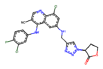 N#Cc1cnc2c(Cl)cc(NCc3cn(C4CCOC4=O)nn3)cc2c1Nc1ccc(F)c(Cl)c1